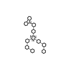 c1ccc(-c2cccc(-c3ccc(-c4nc(-c5ccc(-c6cccc(-n7c8ccccc8c8ccccc87)c6)cc5)nc(-c5cccc(-c6cccc(-c7ccccc7)c6)c5)n4)cc3)c2)cc1